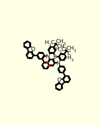 CC(C)(C)c1ccc2c(c1)B1c3cc(C(C)(C)C)ccc3N(c3ccc(-c4cccc5c4oc4ccccc45)cc3-c3ccccc3)c3cccc(c31)N2c1ccc(-c2cccc3c2oc2ccccc23)cc1